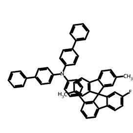 Cc1ccc2c(c1)C1(c3cc(C)ccc3-2)c2cc(F)ccc2-c2cccc(-c3ccc(N(c4ccc(-c5ccccc5)cc4)c4ccc(-c5ccccc5)cc4)cc3)c21